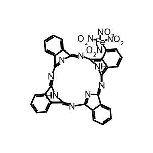 O=[N+]([O-])[Fe]([c]1cccc2c3nc4nc(nc5[nH]c(nc6nc(nc([nH]3)c12)-c1ccccc1-6)c1ccccc51)-c1ccccc1-4)([N+](=O)[O-])([N+](=O)[O-])[N+](=O)[O-]